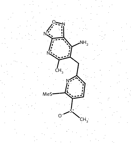 CSc1nc(Cc2c(C)nc3nonc3c2N)ccc1[S+](C)[O-]